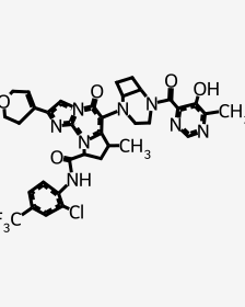 Cc1ncnc(C(=O)N2CCN(c3c4n(c5nc(C6=CCOCC6)cn5c3=O)C(C(=O)Nc3ccc(C(F)(F)F)cc3Cl)CC4C)C3CCC32)c1O